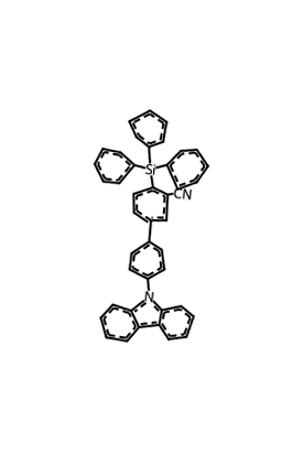 N#Cc1cc(-c2ccc(-n3c4ccccc4c4ccccc43)cc2)ccc1[Si](c1ccccc1)(c1ccccc1)c1ccccc1